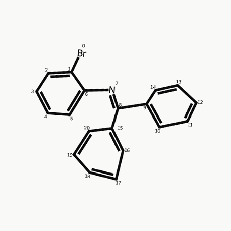 Brc1ccccc1N=C(c1ccccc1)c1ccccc1